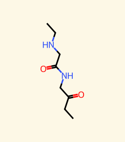 CCNCC(=O)NCC(=O)CC